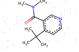 CN(C)C(=O)c1cnccc1C(C)(C)C